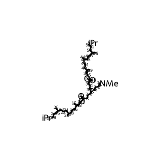 CNCCCCP(CCCC(=O)OC/C=C(\C)CCCC(C)CCCC(C)CCCC(C)C)CCCC(=O)OC/C=C(\C)CCCC(C)CCCC(C)CCCC(C)C